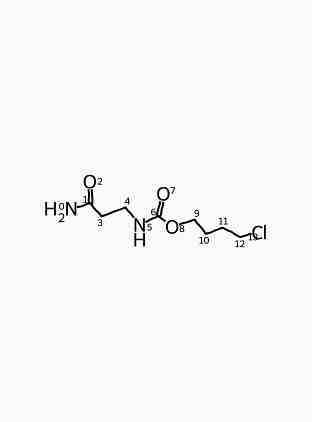 NC(=O)CCNC(=O)OCCCCCl